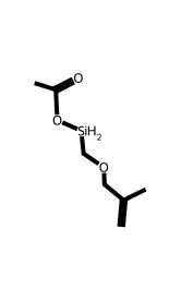 C=C(C)COC[SiH2]OC(C)=O